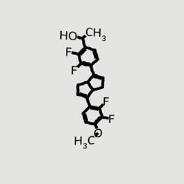 COc1ccc(C2=CCC3C(c4ccc(C(C)O)c(F)c4F)=CCC23)c(F)c1F